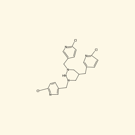 Clc1ccc(CC2CN(Cc3ccc(Cl)nc3)NN(Cc3ccc(Cl)nc3)C2)cn1